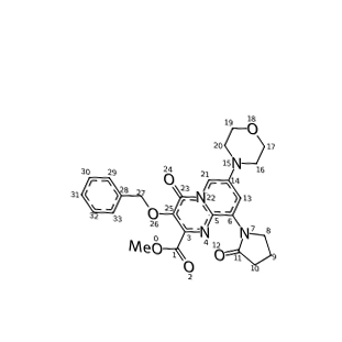 COC(=O)c1nc2c(N3CCCC3=O)cc(N3CCOCC3)cn2c(=O)c1OCc1ccccc1